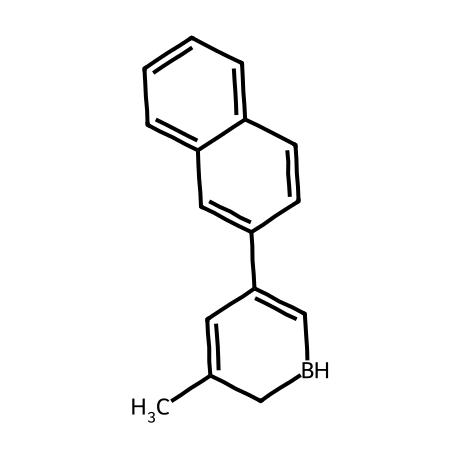 CC1=CC(c2ccc3ccccc3c2)=CBC1